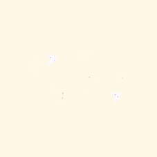 CC[C@H]1OC(=O)C(C)[C@@H](O[C@H]2CC(N(C)C)C(O)[C@@H](C)O2)[C@H](C)CC(O)CCN(C)C(O)[C@]1(C)O